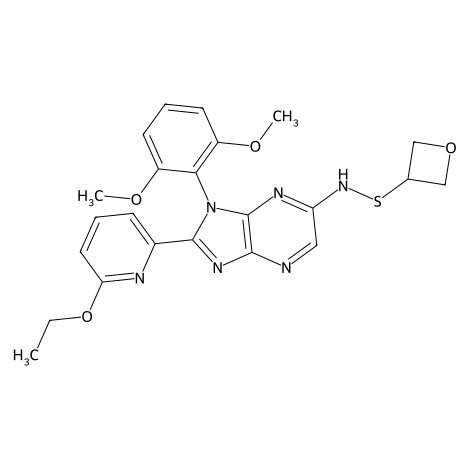 CCOc1cccc(-c2nc3ncc(NSC4COC4)nc3n2-c2c(OC)cccc2OC)n1